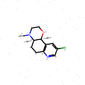 CCCN1CCO[C@H]2c3cc(Br)cnc3CC[C@H]21